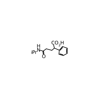 CC(C)NC(=O)CCC(C(=O)O)c1ccccc1